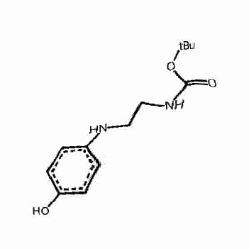 CC(C)(C)OC(=O)NCCNc1ccc(O)cc1